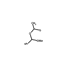 CCCC(OC)OC(C)[S]